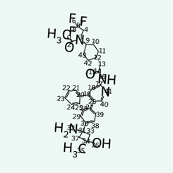 CC(=O)N(CC(F)(F)F)[C@H]1CC[C@H](CC(=O)Nc2cc(-c3ccccc3)c(-c3ccc([C@]4(N)C[C@](C)(O)C4)cc3)cn2)CC1